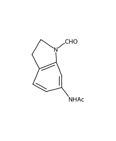 CC(=O)Nc1ccc2c(c1)N(C=O)CC2